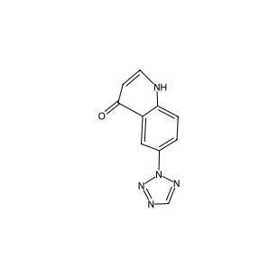 O=c1cc[nH]c2ccc(-n3ncnn3)cc12